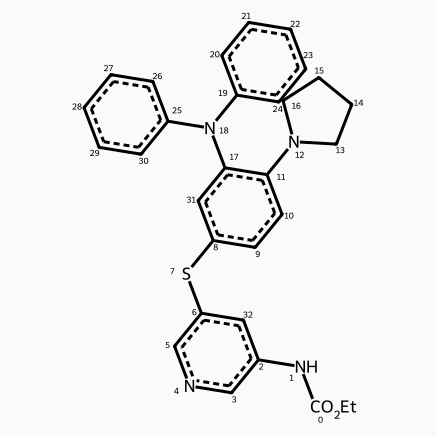 CCOC(=O)Nc1cncc(Sc2ccc(N3CCCC3)c(N(c3ccccc3)c3ccccc3)c2)c1